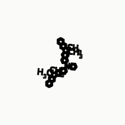 CC1(C)c2cc3ccccc3cc2-c2cc3ccc(N(c4ccccc4)c4ccc5cc6c(cc5c4)C(C)(C)c4cc5ccccc5cc4-6)cc3cc21